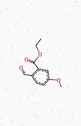 CCOC(=O)c1cc(OC)ccc1C=O